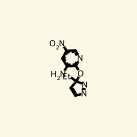 CCC1(Oc2ncc([N+](=O)[O-])cc2N)C=CN=N1